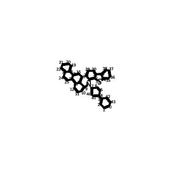 c1ccc(-c2ccc(N(c3cccc4c3ccc3c5ccccc5ccc43)c3cccc4c3sc3ccccc34)cc2)cc1